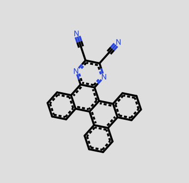 N#Cc1nc2c3ccccc3c3c4ccccc4c4ccccc4c3c2nc1C#N